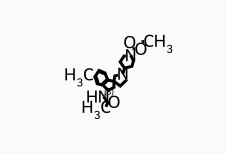 CCOC(=O)N1CCC(N2CCC3(C[C@H](NC(C)=O)c4cc(C)ccc43)C2)CC1